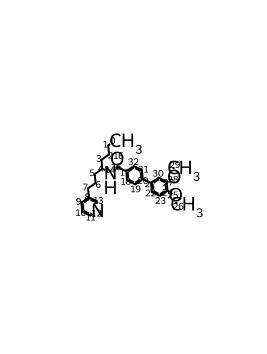 CCCCC(CCCc1cccnc1)NC(=O)c1ccc(-c2ccc(OC)c(OC)c2)cc1